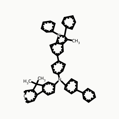 Cc1c(-c2ccccc2)n(-c2ccccc2)c2ccc(-c3ccc(N(c4ccc(-c5ccccc5)cc4)c4ccc5c(c4)C(C)(C)c4ccccc4-5)cc3)cc12